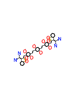 COc1cc(/C=C/c2cc(OC)c(/C=C/c3cc(OC)c(C=C4C(=C(C#N)C#N)c5ccccc5S4(=O)=O)cc3OC)cc2OC)c(OC)cc1C=C1C(=C(C#N)C#N)c2ccccc2S1(=O)=O